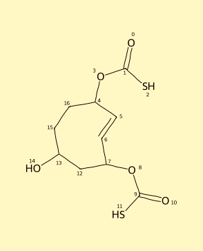 O=C(S)OC1/C=C/C(OC(=O)S)CC(O)CC1